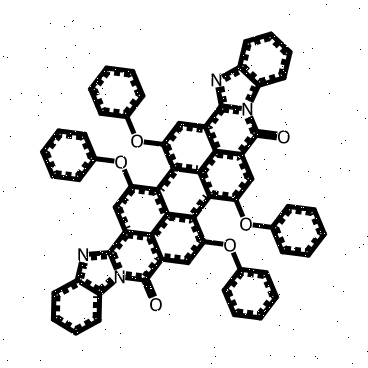 O=c1c2cc(Oc3ccccc3)c3c4c(Oc5ccccc5)cc5c(=O)n6c7ccccc7nc6c6cc(Oc7ccccc7)c(c7c(Oc8ccccc8)cc(c2c37)c2nc3ccccc3n12)c4c56